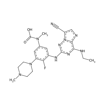 CCNc1nc(Nc2cc(N(C)C(=O)O)cc(N3CCN(C)CC3)c2F)nn2c(C#N)cnc12